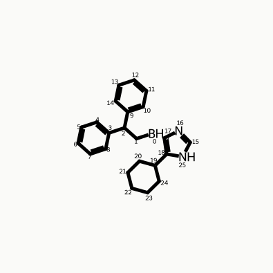 BCC(c1ccccc1)c1ccccc1.c1ncc(C2CCCCC2)[nH]1